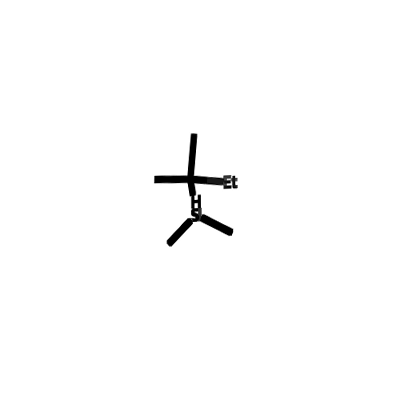 CCC(C)(C)[SiH](C)C